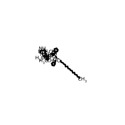 CCCCCCCCCCCCCCCCCCOC[C@H](COP(=O)(OC[C@H]1O[C@@](C=NC)(c2ccc3c(N)ncnn23)[C@@H]2OC(C)(C)O[C@@H]21)Oc1ccccc1Cl)OCc1ccccc1